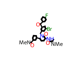 CNC(=O)c1cccc(-c2ccc(NC(=O)[C@@H](C)NC)c(=O)n2Cc2cc(Br)cc(C(=O)c3ccc(F)cc3)c2)c1